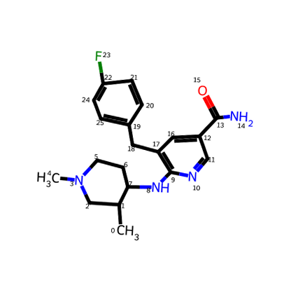 CC1CN(C)CCC1Nc1ncc(C(N)=O)cc1Cc1ccc(F)cc1